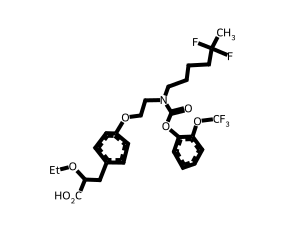 CCOC(Cc1ccc(OCCN(CCCCC(C)(F)F)C(=O)Oc2ccccc2OC(F)(F)F)cc1)C(=O)O